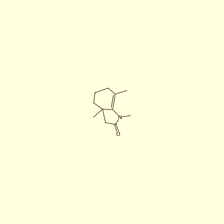 CC1=C2N(C)C(=O)CC2(C)CCC1